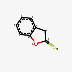 S=C1Cc2ccccc2O1